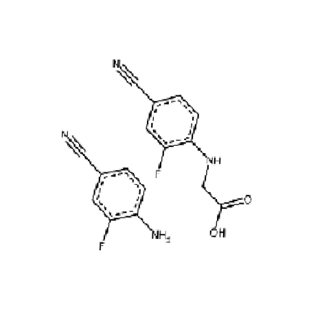 N#Cc1ccc(N)c(F)c1.N#Cc1ccc(NCC(=O)O)c(F)c1